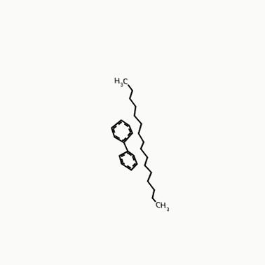 CCCCCCCCCCCCCCCC.c1ccc(-c2ccccc2)cc1